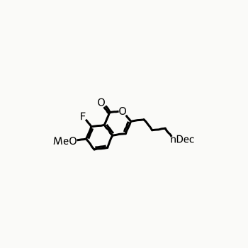 CCCCCCCCCCCCCc1cc2ccc(OC)c(F)c2c(=O)o1